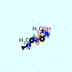 Cc1cc(F)c(C(=O)Nc2cccc3c2OC[C@@H]([C@H](C)O)n2nnnc2-3)cc1-n1cnc(C2CC2)c1